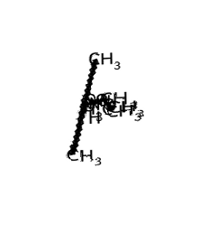 CCCCCCCCCCCCCCCCCCC(CCCCCCCCCCCCCCCCC)OC(=O)NCCON(C)COC(C)(C)C